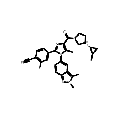 Cc1c2cc(-n3c(-c4ccc(C#N)c(F)c4)nc(C(=O)N4CC[C@H](C5CC5C)C4)c3C)ccc2nn1C